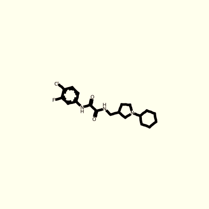 O=C(NCC1CCN(C2CCCCC2)C1)C(=O)Nc1ccc(Cl)c(F)c1